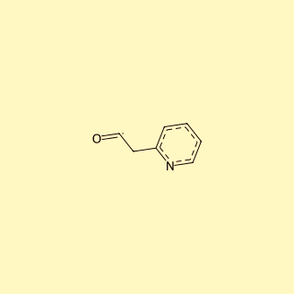 O=[C]Cc1ccccn1